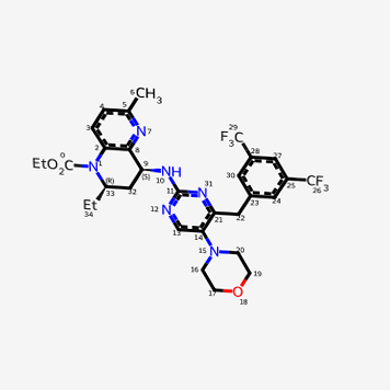 CCOC(=O)N1c2ccc(C)nc2[C@@H](Nc2ncc(N3CCOCC3)c(Cc3cc(C(F)(F)F)cc(C(F)(F)F)c3)n2)C[C@H]1CC